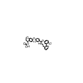 O=C(O)OC1CCOc2cc(Oc3ccc(C(=O)NCCc4cccnc4-c4ccccc4Cl)cc3)c(Cl)cc21